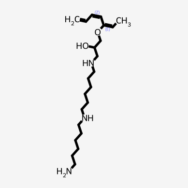 C=C/C=C\C(=C/C)OCC(O)CNCCCCCCNCCCCCCN